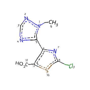 Cn1ncnc1-c1nc(Cl)sc1C(=O)O